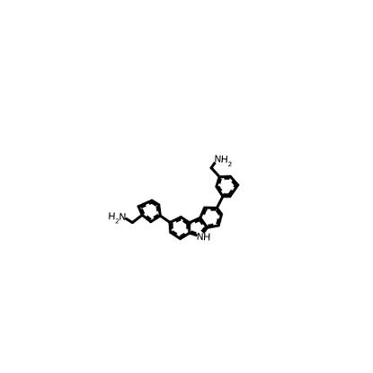 NCc1cccc(-c2ccc3[nH]c4ccc(-c5cccc(CN)c5)cc4c3c2)c1